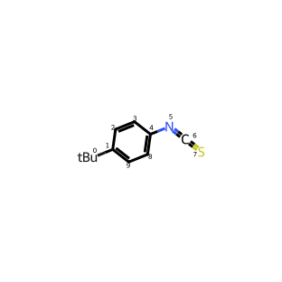 CC(C)(C)c1ccc(N=C=S)cc1